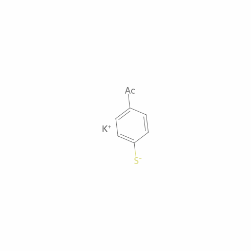 CC(=O)c1ccc([S-])cc1.[K+]